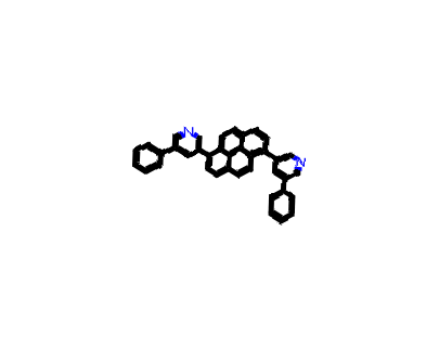 c1ccc(-c2cncc(-c3ccc4ccc5c(-c6cncc(-c7ccccc7)c6)ccc6ccc3c4c65)c2)cc1